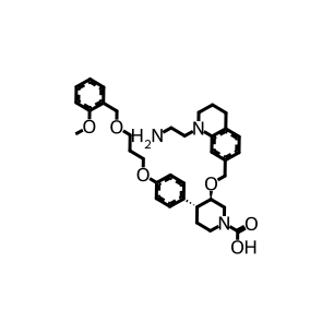 COc1ccccc1COCCCOc1ccc([C@H]2CCN(C(=O)O)C[C@@H]2OCc2ccc3c(c2)N(CCN)CCC3)cc1